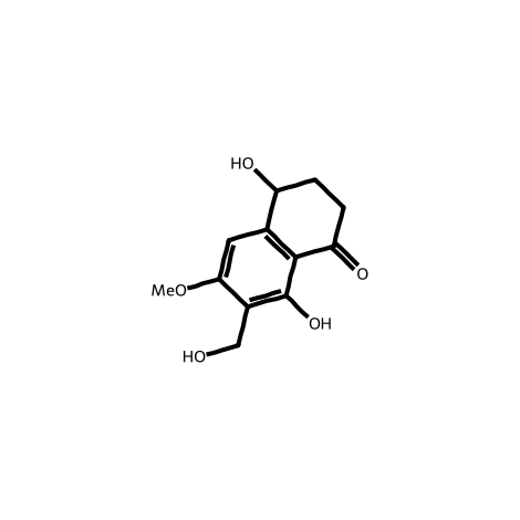 COc1cc2c(c(O)c1CO)C(=O)CCC2O